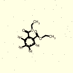 [2H]c1c([2H])c([2H])c(C(=O)OCC)c(C(=O)OCC)c1[2H]